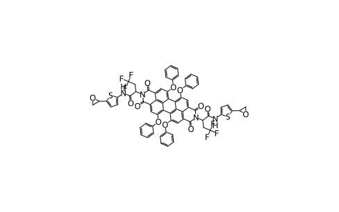 O=C(Nc1ccc(C2CO2)s1)C(CC(F)(F)F)N1C(=O)c2cc(Oc3ccccc3)c3c4c(Oc5ccccc5)cc5c6c(cc(Oc7ccccc7)c(c7c(Oc8ccccc8)cc(c2c37)C1=O)c64)C(=O)N(C(CC(F)(F)F)C(=O)Nc1ccc(C2CO2)s1)C5=O